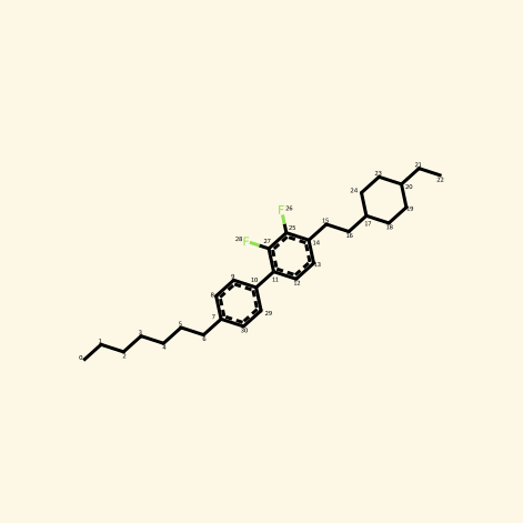 CCCCCCCc1ccc(-c2ccc(CCC3CCC(CC)CC3)c(F)c2F)cc1